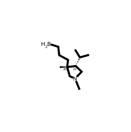 BCCC[C@@]1(C)CN(C)C[C@H]1C(C)C